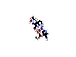 COC[C@H](C)Oc1cc(NC(=O)N2CCCc3cc(CN4C(=O)OC[C@@H]4C)c(C=O)nc32)ncc1C#N